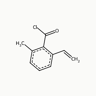 C=Cc1cccc(C)c1C(=O)Cl